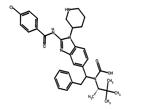 C[C@H](N(C(=O)O)C(Cc1ccccc1)c1ccc2c(c1)nc(NC(=O)c1ccc(Cl)cc1)n2C1CCCNC1)C(C)(C)C